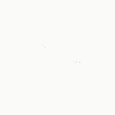 C/N=C(/C=C(/C)OC)CF